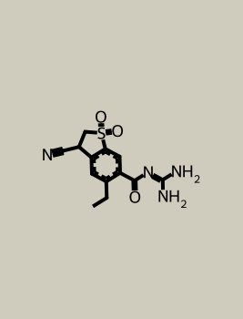 CCc1cc2c(cc1C(=O)N=C(N)N)S(=O)(=O)CC2C#N